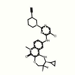 C#CC1CCCN(c2ncc(Cl)c(Nc3ccc4c(c3)c3c(c(=O)n4C)OCC(F)(F)[C@H](C4CC4)N3)n2)C1